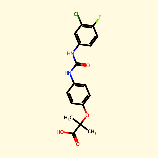 CC(C)(Oc1ccc(NC(=O)Nc2ccc(F)c(Cl)c2)cc1)C(=O)O